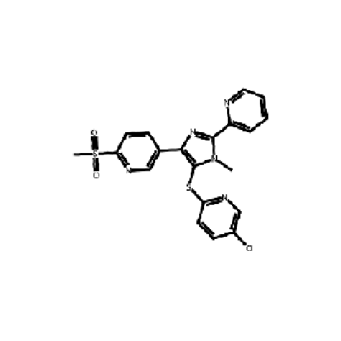 Cn1c(-c2ccccn2)nc(-c2ccc(S(C)(=O)=O)nc2)c1Sc1ccc(Cl)cn1